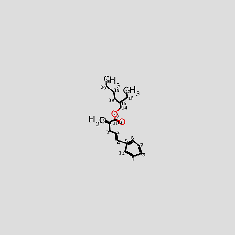 C=C(CC=Cc1ccccc1)C(=O)OCC(CC)CCCC